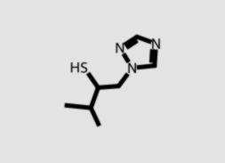 CC(C)C(S)Cn1cncn1